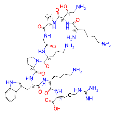 C[C@H](NC(=O)[C@@H](NC(=O)[C@@H](N)CCCCN)[C@@H](O)CN)C(=O)NCC(=O)N[C@H](CCCN)C(=O)N1CCC[C@H]1C(=O)N[C@@H](Cc1c[nH]c2ccccc12)C(=O)N[C@@H](CCCCN)C(=O)N/C(=C\CCNC(=N)N)C(=O)O